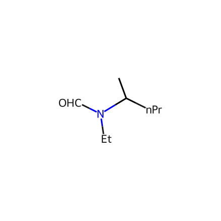 CCCC(C)N(C=O)CC